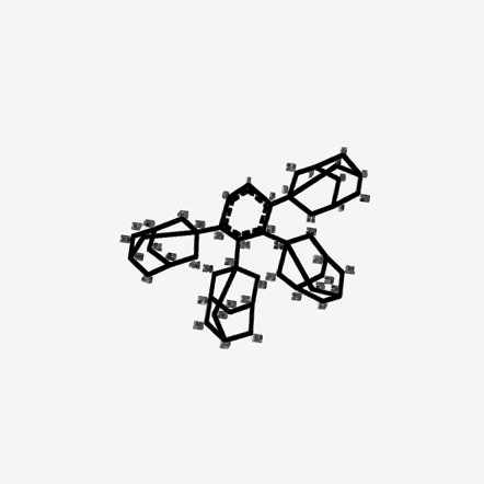 [c]1cc(C23CC4CC(CC(C4)C2)C3)c(C23CC4CC(CC(C4)C2)C3)c(C23CC4CC(CC(C4)C2)C3)c1C12CC3CC(CC(C3)C1)C2